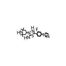 CN(C(=N)SC(=N)c1ccc(-n2ccnc2)cc1F)C1CC(C)(C)NC(C)(C)C1